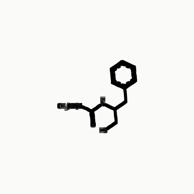 CN(O)C(=O)NC(CS)Cc1ccccc1